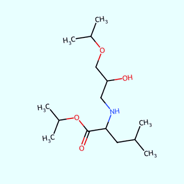 CC(C)CC(NCC(O)COC(C)C)C(=O)OC(C)C